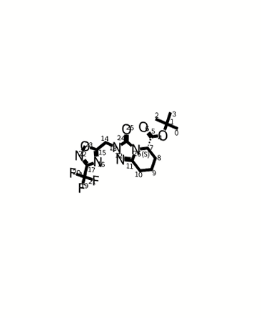 CC(C)(C)OC(=O)[C@@H]1CCCc2nn(Cc3nc(C(F)(F)F)no3)c(=O)n21